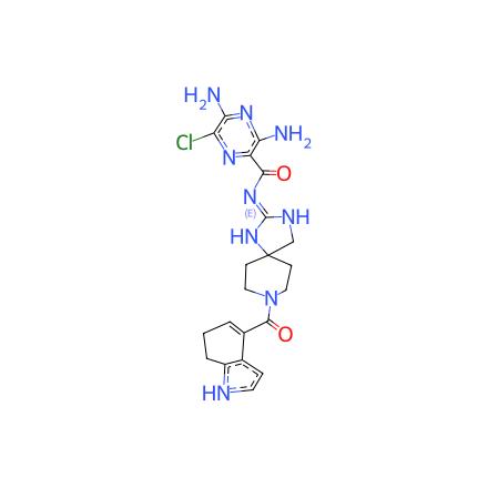 Nc1nc(N)c(C(=O)/N=C2\NCC3(CCN(C(=O)C4=CCCc5[nH]ccc54)CC3)N2)nc1Cl